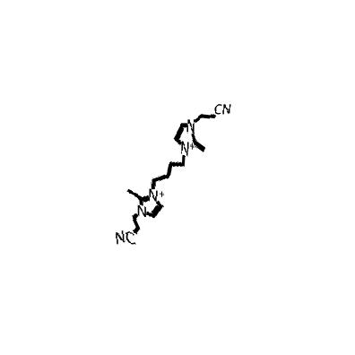 Cc1n(CCC#N)cc[n+]1CCCC[n+]1ccn(CCC#N)c1C